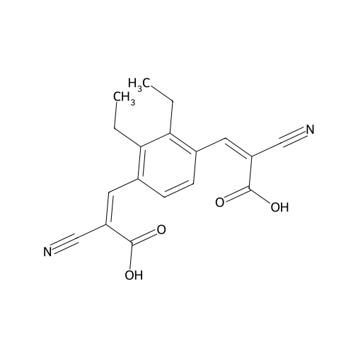 CCc1c(C=C(C#N)C(=O)O)ccc(C=C(C#N)C(=O)O)c1CC